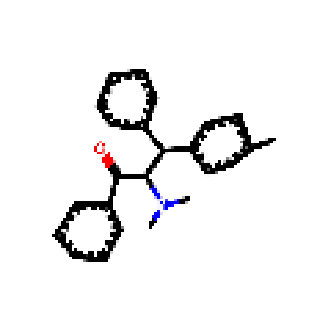 Cc1ccc(C(c2ccccc2)C(C(=O)c2ccccc2)N(C)C)cc1